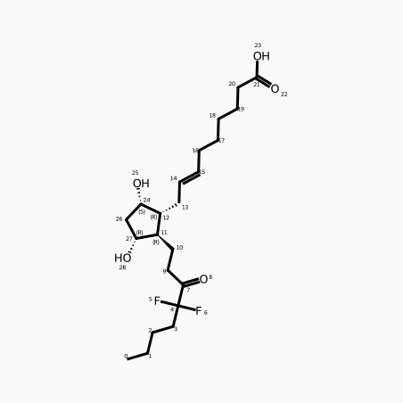 CCCCC(F)(F)C(=O)CC[C@@H]1[C@@H](CC=CCCCCCC(=O)O)[C@@H](O)C[C@H]1O